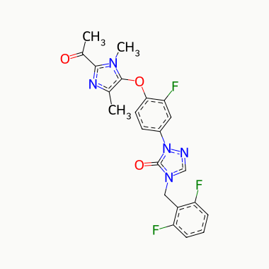 CC(=O)c1nc(C)c(Oc2ccc(-n3ncn(Cc4c(F)cccc4F)c3=O)cc2F)n1C